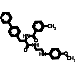 COc1ccc(NCCNC(=O)C(Cc2ccc(-c3cccnc3)cc2)NC(=O)c2cccc(C)c2)cc1